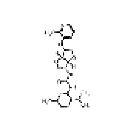 Cc1ncccc1O[C@H]1CO[C@H]2[C@@H]1OC[C@@H]2NC(=O)N[C@@H]1C[C@H](C)CC[C@H]1C(C)C